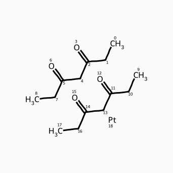 CCC(=O)CC(=O)CC.CCC(=O)CC(=O)CC.[Pt]